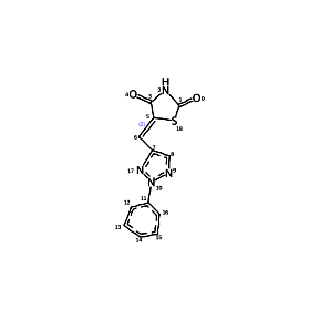 O=C1NC(=O)/C(=C/c2cnn(-c3ccccc3)n2)S1